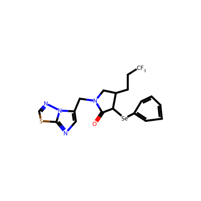 O=C1C([Se]c2ccccc2)C(CCC(F)(F)F)CN1Cc1cnc2scnn12